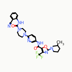 CC1CCCN(c2nc(C(F)(F)F)c(C(=O)Nc3ccc(N4CCCN(C(=O)Nc5ccccc5C#N)CC4)nc3)o2)C1